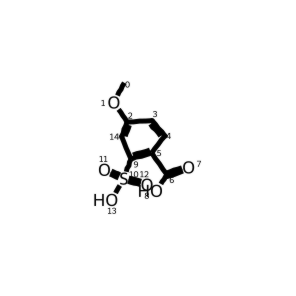 COc1ccc(C(=O)O)c(S(=O)(=O)O)c1